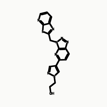 OCCn1cc(-c2ccc3nnn(Cc4nc5cccnc5s4)c3n2)cn1